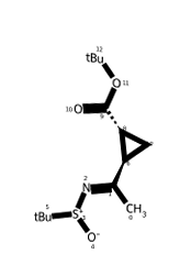 C/C(=N\[S+]([O-])C(C)(C)C)[C@@H]1C[C@H]1C(=O)OC(C)(C)C